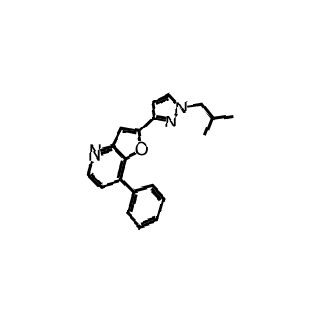 CC(C)Cn1ccc(-c2cc3nccc(-c4ccccc4)c3o2)n1